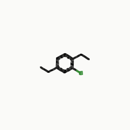 CCc1ccc(CC)c(Cl)c1